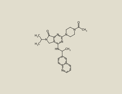 CC(=O)N1CCN(c2nc(NC(C)c3ccc4ncccc4c3)c3c(n2)C(=O)N(C(C)C)C3)CC1